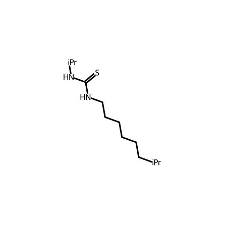 CC(C)CCCCCCNC(=S)NC(C)C